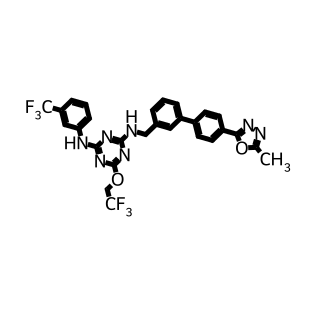 Cc1nnc(-c2ccc(-c3cccc(CNc4nc(Nc5cccc(C(F)(F)F)c5)nc(OCC(F)(F)F)n4)c3)cc2)o1